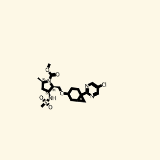 COC(=O)N1[C@H](C)C[C@H](NS(C)(=O)=O)[C@@H]1COC1CCC2(c3ncc(Cl)cn3)CC2C1